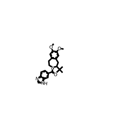 COc1cc2c(cc1OC)CC(C(C)(C)C)N(C(=O)c1ccc3nc[nH]c3c1)CC2